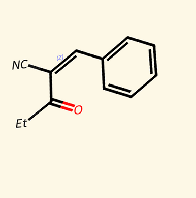 CCC(=O)/C(C#N)=C\c1ccccc1